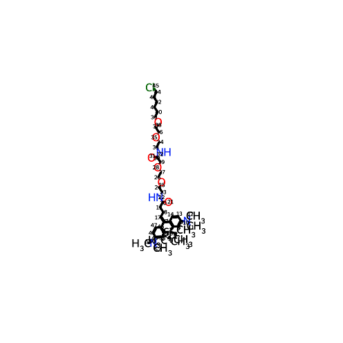 CC(C)[Si]1(C(C)C)c2cc(N(C)C)ccc2C(=CCCC(=O)NCCOCCOCC(=O)NCCOCCOCCCCCCCl)c2ccc(N(C)C)cc21